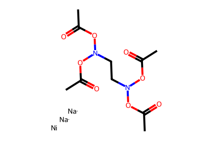 CC(=O)ON(CCN(OC(C)=O)OC(C)=O)OC(C)=O.[Na].[Na].[Ni]